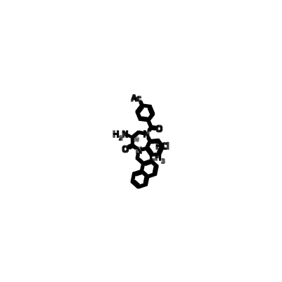 CC(=O)c1ccc(C(=O)N2C[C@H](N)C(=O)N(Cc3c(C)ccc4ccccc34)c3ccccc32)cc1.Cl